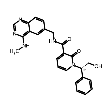 CNc1ncnc2ccc(CNC(=O)c3cccn([C@H](CO)c4ccccc4)c3=O)cc12